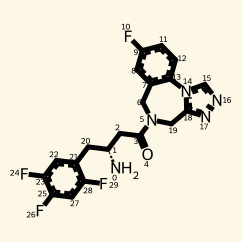 N[C@@H](CC(=O)N1Cc2cc(F)ccc2-n2cnnc2C1)Cc1cc(F)c(F)cc1F